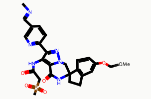 C/N=C/c1ccc(-c2nn3c(c2NC(=O)CS(C)(=O)=O)C(=O)NC2(CCc4cc(OCOC)ccc42)C3)nc1